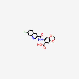 O=C(Nc1cc2c(cc1C(=O)O)OCCO2)c1cnc2cc(F)ccc2c1